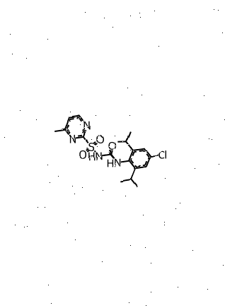 Cc1ccnc(S(=O)(=O)NC(=O)Nc2c(C(C)C)cc(Cl)cc2C(C)C)n1